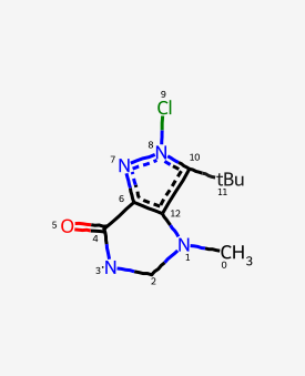 CN1C[N]C(=O)c2nn(Cl)c(C(C)(C)C)c21